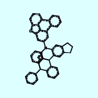 c1ccc(C23c4ccccc4C4(c5cc6c(cc5N(c5cc7oc8cccc9c%10ccccc%10c(c5)c7c89)c5cccc2c54)CCC6)c2ccccc23)cc1